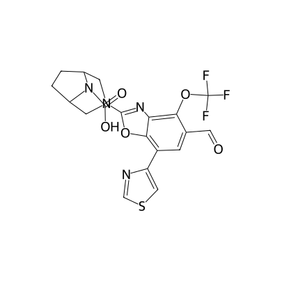 O=Cc1cc(-c2cscn2)c2oc(N3CC4CCC(C3)N4C(=O)O)nc2c1OC(F)(F)F